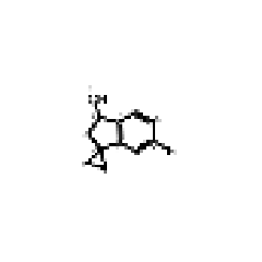 OC1CC2(CC2)c2cc(Br)ccc21